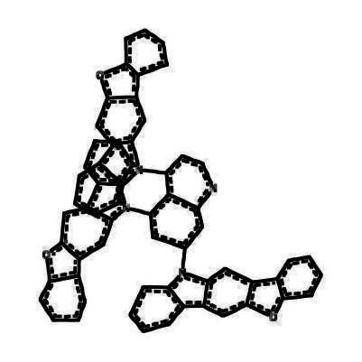 c1ccc2c(c1)oc1cc3c4ccccc4n(-c4cc(-n5c6ccccc6c6cc7oc8ccccc8c7cc65)c5c(-n6c7ccccc7c7cc8oc9ccccc9c8cc76)ccnc5c4)c3cc12